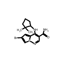 CC1(C)CCCC1Nc1c(C(N)=O)cnn2cc(Br)cc12